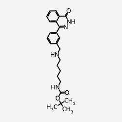 CC(C)(C)OC(=O)NCCCCCNCc1cccc(-c2n[nH]c(=O)c3ccccc23)c1